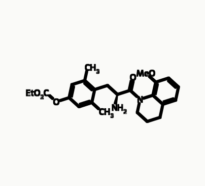 CCOC(=O)Oc1cc(C)c(C[C@H](N)C(=O)N2CCCc3cccc(OC)c32)c(C)c1